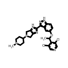 CC(Oc1ccc2[nH]nc(-c3nc4c([nH]3)CN(C3CCN(C)CC3)C4)c2c1)c1c(Cl)cncc1Cl